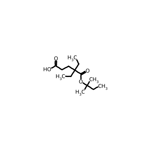 CCC(C)(C)OC(=O)C(CC)(CC)CCC(=O)O